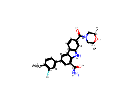 COc1ccc(-c2cc(C(N)=O)c3[nH]c4cc(C(=O)N5C[C@@H](C)O[C@@H](C)C5)ccc4c3c2)cc1F